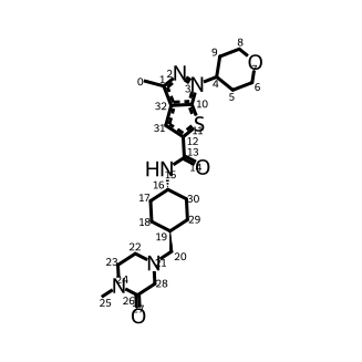 Cc1nn(C2CCOCC2)c2sc(C(=O)N[C@H]3CC[C@H](CN4CCN(C)C(=O)C4)CC3)cc12